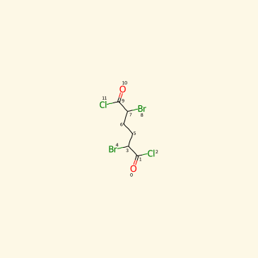 O=C(Cl)C(Br)CCC(Br)C(=O)Cl